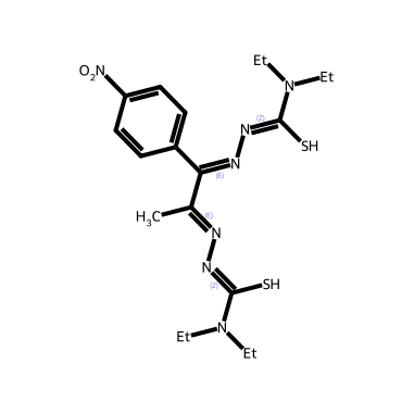 CCN(CC)/C(S)=N/N=C(C)/C(=N/N=C(\S)N(CC)CC)c1ccc([N+](=O)[O-])cc1